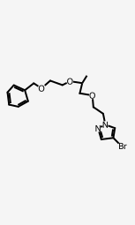 CC(COCCn1cc(Br)cn1)OCCOCc1ccccc1